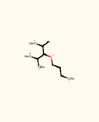 COCCCOC(C(C)C=O)C(OC)OC